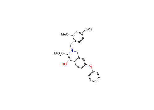 CCOC(=O)C1=C(O)c2ccc(Oc3ccccc3)cc2CN1Cc1ccc(OC)cc1OC